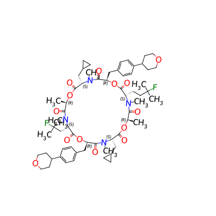 C[C@H]1OC(=O)[C@H](CC2CC2)N(C)C(=O)[C@@H](Cc2ccc(C3CCOCC3)cc2)OC(=O)[C@H](CC(C)(C)F)N(C)C(=O)[C@@H](C)OC(=O)[C@H](CC2CC2)N(C)C(=O)[C@@H](Cc2ccc(C3CCOCC3)cc2)OC(=O)[C@H](CCC(C)(C)F)N(C)C1=O